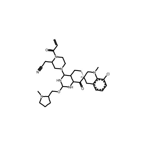 C=CC(=O)N1CCN(C2NC(OCC3CCCN3C)NC3C(=O)[C@]4(CCC32)Cc2cccc(Cl)c2N(C)C4)CC1CC#N